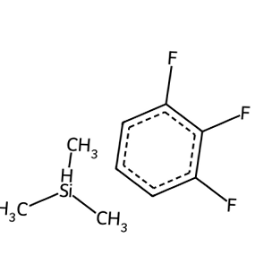 C[SiH](C)C.Fc1cccc(F)c1F